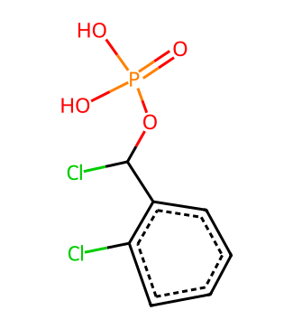 O=P(O)(O)OC(Cl)c1ccccc1Cl